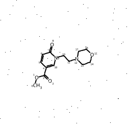 COC(=O)c1ccc(=O)n(CCN2CCOCC2)c1